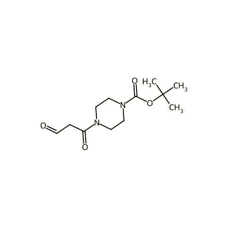 CC(C)(C)OC(=O)N1CCN(C(=O)CC=O)CC1